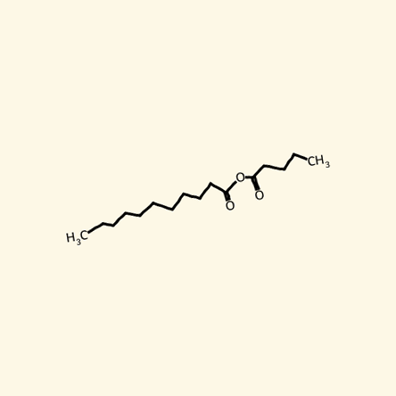 CCCCCCCCCCC(=O)OC(=O)CCCC